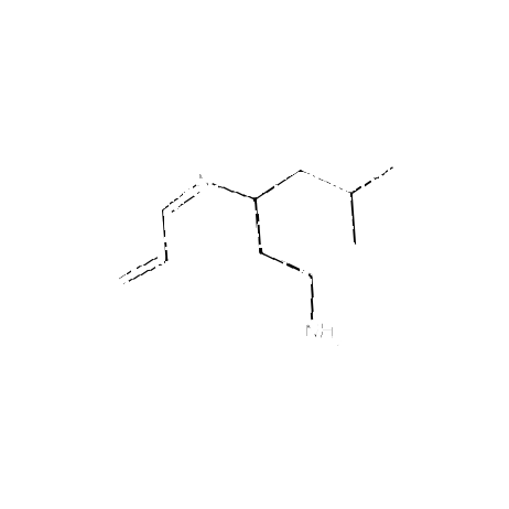 C=C/C=N\C(CCN)CC(C)C